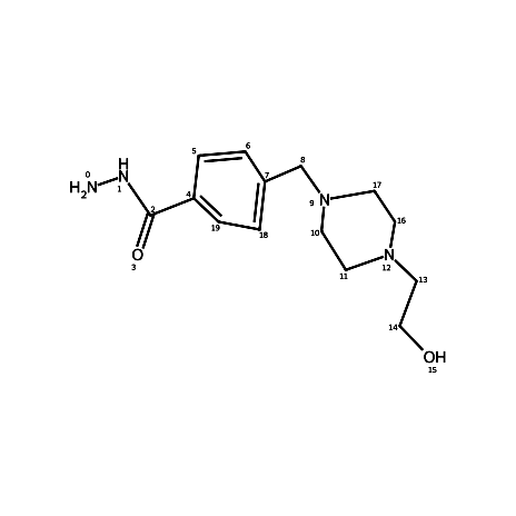 NNC(=O)c1ccc(CN2CCN(CCO)CC2)cc1